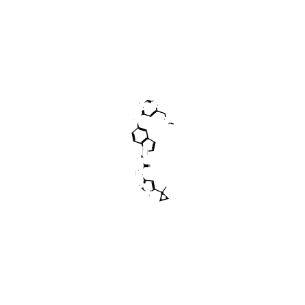 CNCc1cc(Oc2ccc3c(ccn3OC(=O)Nc3cc(C4(C)CC4)[nH]n3)c2)ncn1